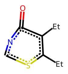 CCc1scnc(=O)c1CC